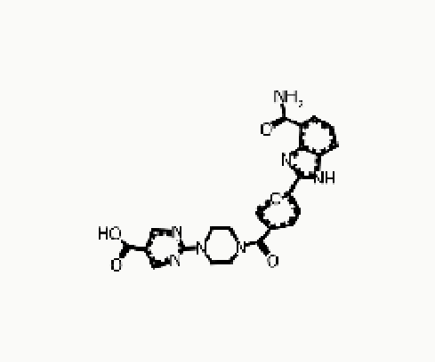 NC(=O)c1cccc2[nH]c(-c3ccc(C(=O)N4CCN(c5ncc(C(=O)O)cn5)CC4)cc3)nc12